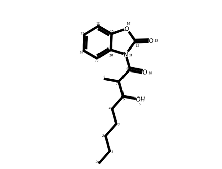 CCCCCC(O)C(C)C(=O)n1c(=O)oc2ccccc21